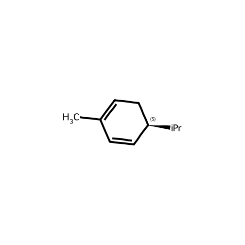 CC1=CC[C@@H](C(C)C)C=C1